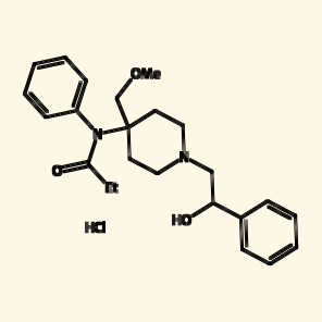 CCC(=O)N(c1ccccc1)C1(COC)CCN(CC(O)c2ccccc2)CC1.Cl